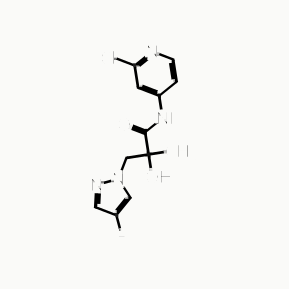 CC(O)(Cn1cc(F)cn1)C(=O)Nc1ccnc(Cl)c1